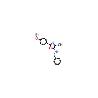 CCOc1ccc(-c2nc(C#N)c(NCc3ccccc3)o2)cc1